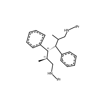 CC(C)NCC(C)C(c1ccccc1)[C@@H](c1ccccc1)[C@H](C)CNC(C)C